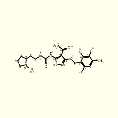 Cc1cc(F)c(COc2nsc(NC(=O)NCCC3CCCN3C)c2C(N)=O)c(F)c1Cl